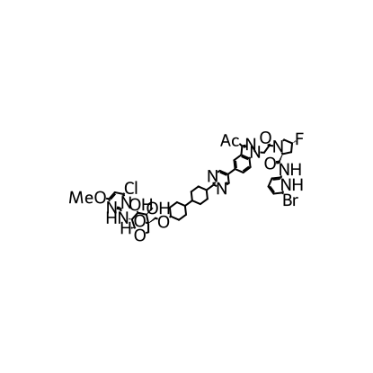 COc1cc(Cl)nc(N[C@H]2[C@H]3OC[C@](COC4CCC(C5CCC(c6ncc(-c7ccc8c(c7)c(C(C)=O)nn8CC(=O)N7C[C@H](F)C[C@H]7C(=O)NC7=CC=CC(Br)N7)cn6)CC5)CC4)(O3)[C@H](O)[C@@H]2O)n1